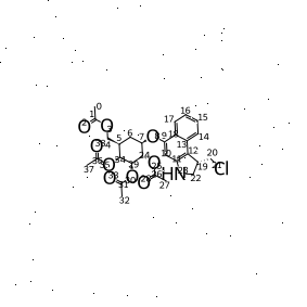 CC(=O)OC[C@H]1C[C@@H](Oc2cc3c(c4ccccc24)[C@H](CCl)CN3)[C@H](OC(C)=O)[C@@H](OC(C)=O)[C@H]1OC(C)=O